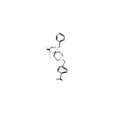 CC(=O)c1ccc(CN2CCC3(CC2)NC(=O)CN3Cc2ccccc2)cc1